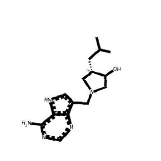 CC(C)C[C@H]1CN(Cc2c[nH]c3c(N)ncnc23)CC1O